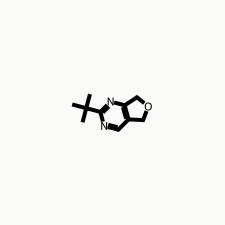 CC(C)(C)c1ncc2c(n1)COC2